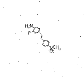 CCN(C)c1ccc(/C=C/c2ccc(N)c(F)c2)cc1